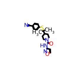 CC(C)(Sc1ccc(C#N)cc1)C1CCN(C(=O)Nc2ccon2)CC1